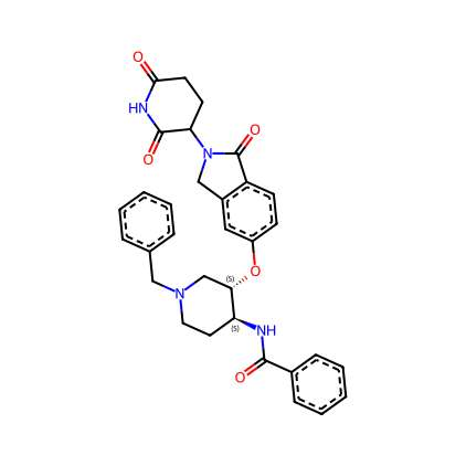 O=C1CCC(N2Cc3cc(O[C@H]4CN(Cc5ccccc5)CC[C@@H]4NC(=O)c4ccccc4)ccc3C2=O)C(=O)N1